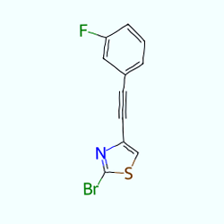 Fc1cccc(C#Cc2csc(Br)n2)c1